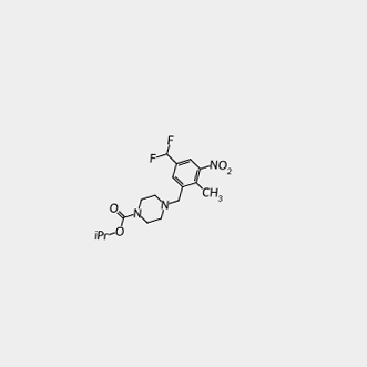 Cc1c(CN2CCN(C(=O)OC(C)C)CC2)cc(C(F)F)cc1[N+](=O)[O-]